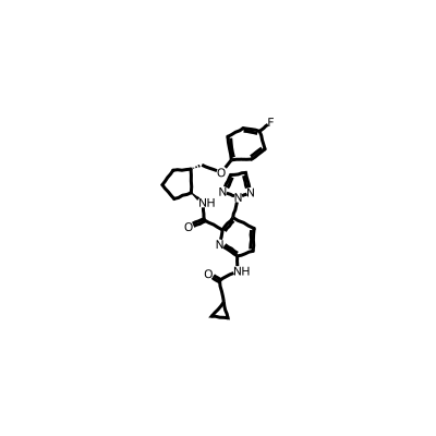 O=C(N[C@H]1CCC[C@@H]1COc1ccc(F)cc1)c1nc(NC(=O)C2CC2)ccc1-n1nccn1